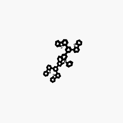 c1ccc(-n2c3cc(-c4cc(-c5cccc6c5sc5ccccc56)cc(-c5cccc6c5sc5ccccc56)c4)cc4c3c3c(cc(-c5cc(-c6cccc7c6sc6ccccc67)cc(-c6cccc7c6sc6ccccc67)c5)cc32)CC4)cc1